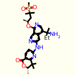 CCC(C)(N)c1cnc(O[C@@H](C)CC(C)(C)S(C)(=O)=O)c2cnc(Nc3ccc4c(n3)C(C)(C)[C@H](C)OC4=O)cc12